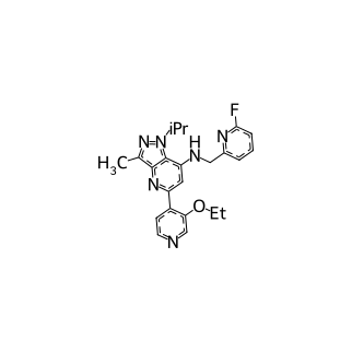 CCOc1cnccc1-c1cc(NCc2cccc(F)n2)c2c(n1)c(C)nn2C(C)C